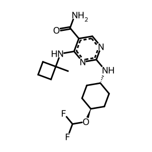 CC1(Nc2nc(N[C@H]3CC[C@H](OC(F)F)CC3)ncc2C(N)=O)CCC1